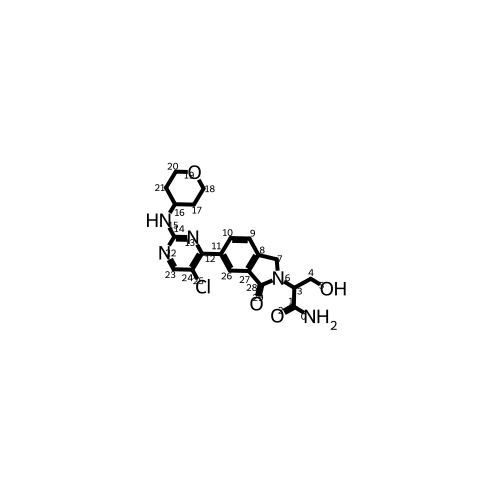 NC(=O)C(CO)N1Cc2ccc(-c3nc(NC4CCOCC4)ncc3Cl)cc2C1=O